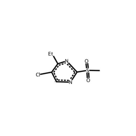 CCc1nc(S(C)(=O)=O)n[c]c1Cl